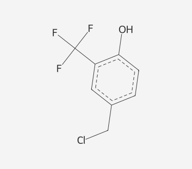 Oc1ccc(CCl)cc1C(F)(F)F